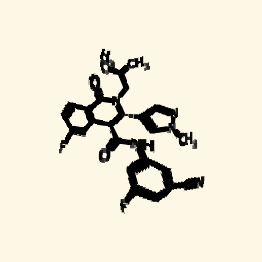 CC(C)CN1C(=O)c2ccc(F)cc2[C@H](C(=O)Nc2cc(F)cc(C#N)c2)[C@H]1c1cnn(C)c1